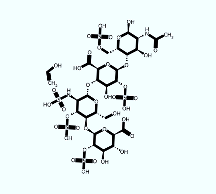 C=CO.CC(=O)N[C@@H]1[C@@H](O)[C@H](O[C@@H]2O[C@H](C(=O)O)[C@@H](O[C@@H]3O[C@H](CO)[C@@H](O[C@H]4O[C@@H](C(=O)O)[C@H](O)[C@@H](O)[C@@H]4OS(=O)(=O)O)[C@H](OS(=O)(=O)O)[C@H]3NS(=O)(=O)O)[C@H](O)[C@H]2OS(=O)(=O)O)[C@H](COS(=O)(=O)O)O[C@H]1O